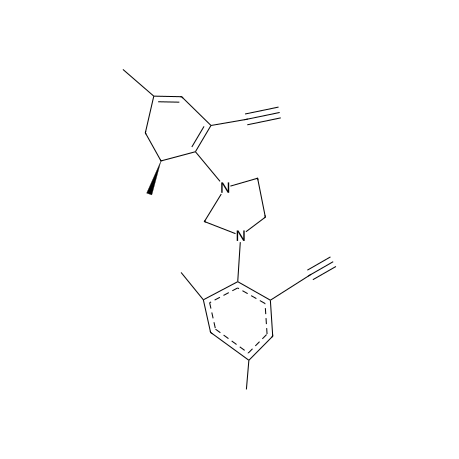 C#CC1=C(N2CCN(c3c(C)cc(C)cc3C#C)C2)[C@@H](C)CC(C)=C1